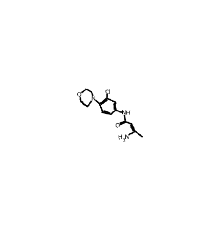 C/C(N)=C/C(=O)Nc1ccc(N2CCOCC2)c(Cl)c1